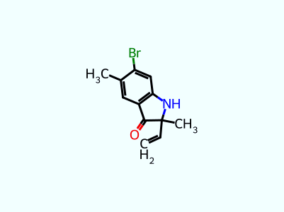 C=CC1(C)Nc2cc(Br)c(C)cc2C1=O